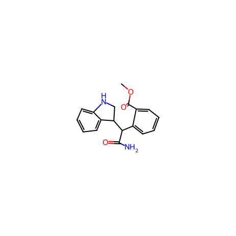 COC(=O)c1ccccc1C(C(N)=O)C1CNc2ccccc21